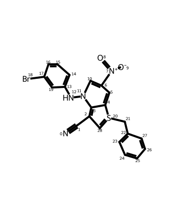 N#CC1=C2C(=CC([N+](=O)[O-])=CN2Nc2cccc(Br)c2)S(Cc2ccccc2)=C1